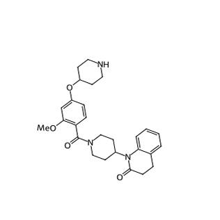 COc1cc(OC2CCNCC2)ccc1C(=O)N1CCC(N2C(=O)CCc3ccccc32)CC1